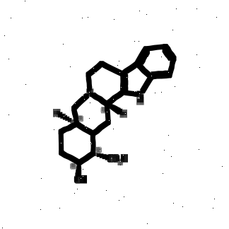 O=C(O)[C@H]1C2C[C@H]3c4[nH]c5ccccc5c4CCN3C[C@@H]2CC[C@@H]1O